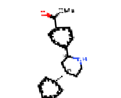 COC(=O)c1ccc([C@@H]2C[C@@H](c3ccccc3)CCN2)cc1